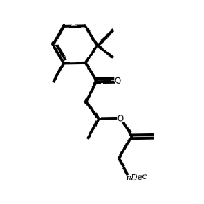 C=C(CCCCCCCCCCC)OC(C)CC(=O)C1C(C)=CCCC1(C)C